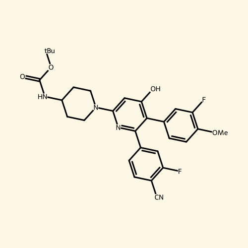 COc1ccc(-c2c(O)cc(N3CCC(NC(=O)OC(C)(C)C)CC3)nc2-c2ccc(C#N)c(F)c2)cc1F